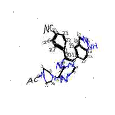 CC(=O)N1CCN(c2nccn3c(-c4ccc5[nH]ncc5c4)c(-c4ccc(C#N)cc4)nc23)CC1